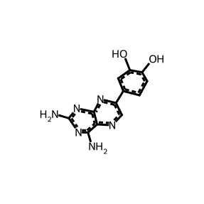 Nc1nc(N)c2ncc(-c3ccc(O)c(O)c3)nc2n1